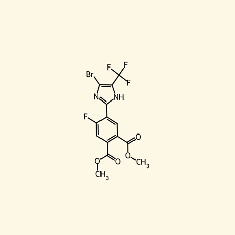 COC(=O)c1cc(F)c(-c2nc(Br)c(C(F)(F)F)[nH]2)cc1C(=O)OC